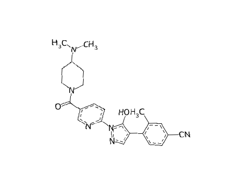 Cc1cc(C#N)ccc1-c1cnn(-c2ccc(C(=O)N3CCC(N(C)C)CC3)cn2)c1O